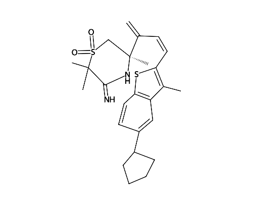 C=C(/C=C\c1sc2ccc(C3CCCC3)cc2c1C)[C@]1(C)CS(=O)(=O)C(C)(C)C(=N)N1